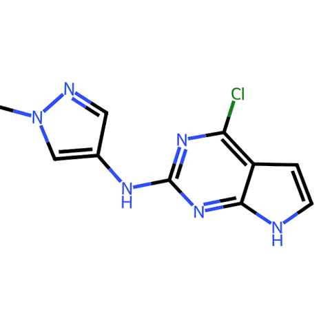 Cn1cc(Nc2nc(Cl)c3cc[nH]c3n2)cn1